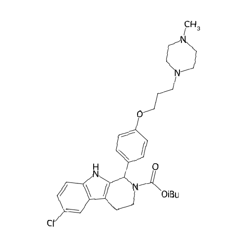 CC(C)COC(=O)N1CCc2c([nH]c3ccc(Cl)cc23)C1c1ccc(OCCCN2CCN(C)CC2)cc1